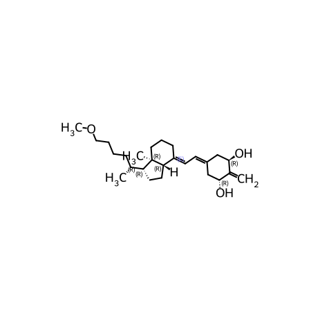 C=C1[C@H](O)CC(=C/C=C2\CCC[C@]3(C)[C@@H]([C@H](C)CCCCOC)CC[C@@H]23)C[C@H]1O